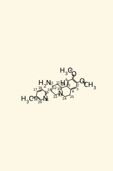 COc1cc2c(cc1OC)[C@@H]1C[C@@H](N)[C@@H](c3ccc(C)cn3)CN1CC2